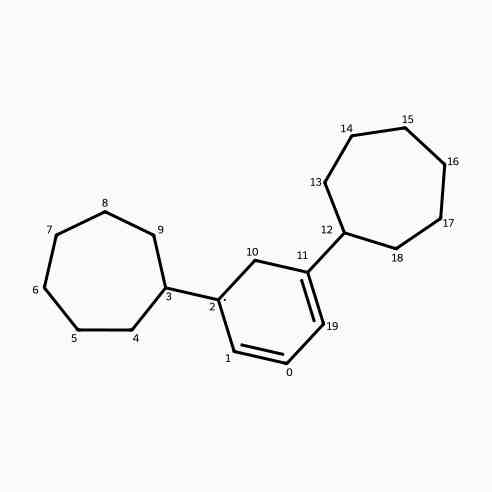 C1=C[C](C2CCCCCC2)CC(C2CCCCCC2)=C1